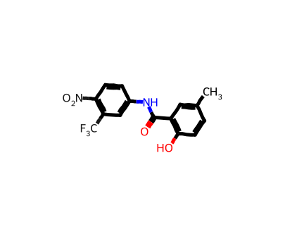 Cc1ccc(O)c(C(=O)Nc2ccc([N+](=O)[O-])c(C(F)(F)F)c2)c1